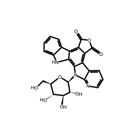 O=C1OC(=O)c2c1c1c3ccccc3[nH]c1c1c2c2cccnc2n1[C@@H]1O[C@H](CO)[C@@H](O)[C@H](O)[C@H]1O